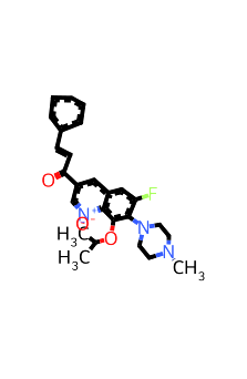 CC(C)Oc1c(N2CCN(C)CC2)c(F)cc2cc(C(=O)C=Cc3ccccc3)c[n+]([O-])c12